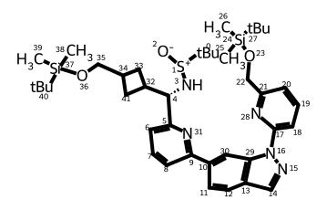 CC(C)(C)[S+]([O-])N[C@H](c1cccc(-c2ccc3cnn(-c4cccc(CO[Si](C)(C)C(C)(C)C)n4)c3c2)n1)C1CC(CO[Si](C)(C)C(C)(C)C)C1